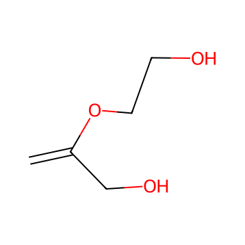 C=C(CO)OCCO